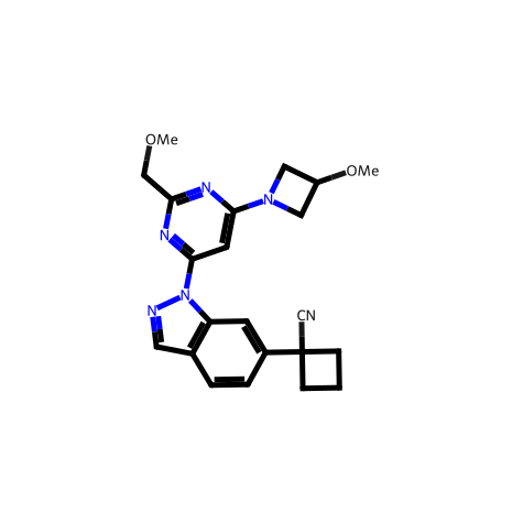 COCc1nc(N2CC(OC)C2)cc(-n2ncc3ccc(C4(C#N)CCC4)cc32)n1